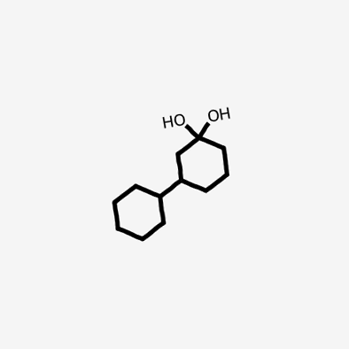 OC1(O)CCCC(C2CCCCC2)C1